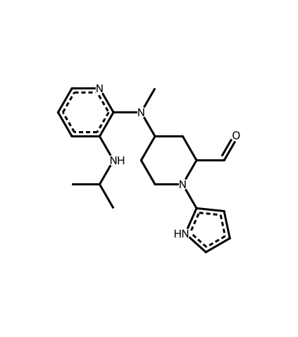 CC(C)Nc1cccnc1N(C)C1CCN(c2ccc[nH]2)C(C=O)C1